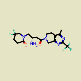 Cc1nc(C(F)(F)F)nc2c1CCN(C(=O)C[C@H](N)CN1CC(F)(F)CCC1=O)C2